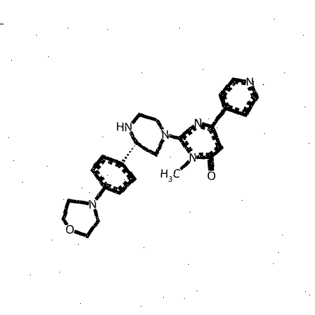 Cn1c(N2CCN[C@@H](c3ccc(N4CCOCC4)cc3)C2)nc(-c2ccncc2)cc1=O